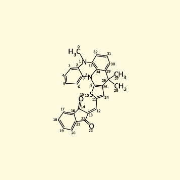 CN1c2ccccc2N2c3sc(C=C4C(=O)c5ccccc5C4=O)cc3C(C)(C)c3cccc1c32